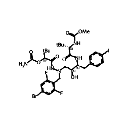 COC(=O)N[C@H](C(=O)N[C@@H](Cc1ccc(I)cc1)[C@@H](O)CN(Cc1c(F)cc(Br)cc1F)NC(=O)[C@@H](OC(N)=O)C(C)(C)C)C(C)(C)C